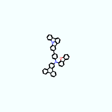 C1=CC2c3ccccc3-c3ccc(N(c4ccc(-c5ccc6c(c5)c5cccc7c8ccccc8n6c75)cc4)c4cccc5c4oc4ccccc45)cc3C2C=C1